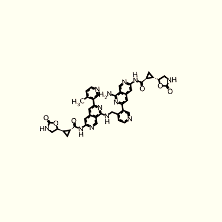 Cc1ccncc1-c1cc2cc(NC(=O)[C@@H]3C[C@H]3C3CNC(=O)O3)ncc2c(NCc2ccncc2-c2cc3cc(NC(=O)[C@H]4C[C@@H]4C4CNC(=O)O4)ncc3c(N)n2)n1